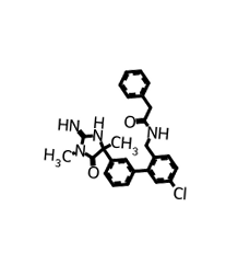 CN1C(=N)NC(C)(c2cccc(-c3cc(Cl)ccc3CNC(=O)Cc3ccccc3)c2)C1=O